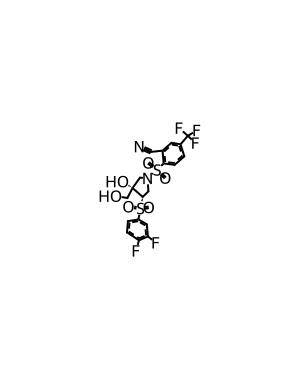 N#Cc1cc(C(F)(F)F)ccc1S(=O)(=O)N1C[C@H](S(=O)(=O)c2ccc(F)c(F)c2)[C@@](O)(CO)C1